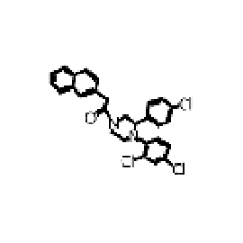 O=C(Cc1ccc2ccccc2c1)N1CCN(c2ccc(Cl)cc2Cl)C(c2ccc(Cl)cc2)C1